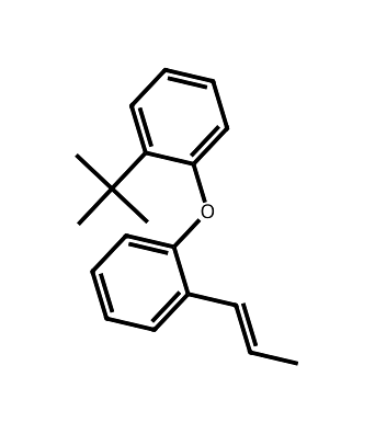 CC=Cc1ccccc1Oc1ccccc1C(C)(C)C